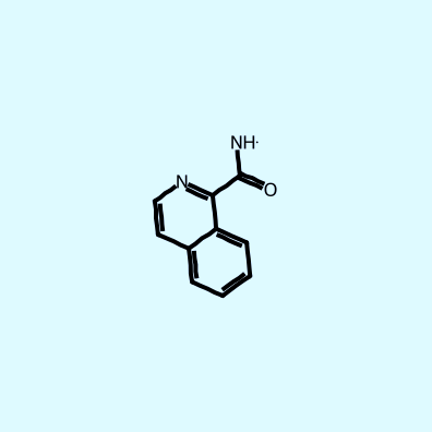 [NH]C(=O)c1nccc2ccccc12